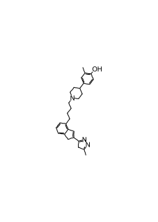 CC1=NN=C(C2=Cc3c(CCCCN4CCC(c5ccc(O)c(C)c5)CC4)cccc3C2)C1